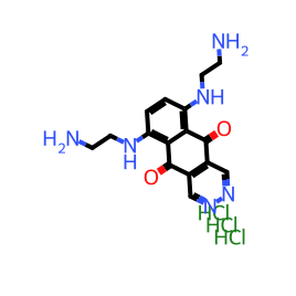 Cl.Cl.Cl.NCCNc1ccc(NCCN)c2c1C(=O)c1cnncc1C2=O